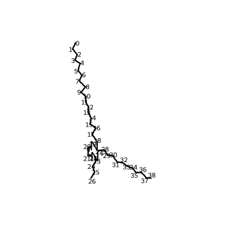 CCCCCCCCCCCCCCCCCCCn1cc[n+](CCCC)c1CCCCCCCCCCC